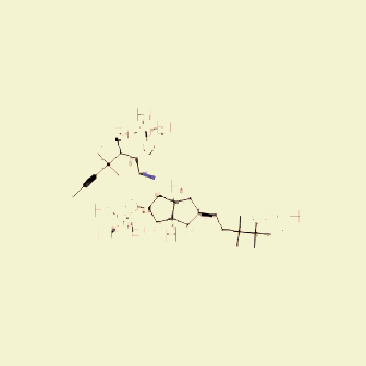 CC#CC(C)(C)C(C)[C@@H](/C=C/[C@@H]1[C@H]2C/C(=C/CC(C)(C)C(C)(C)C(=O)O)C[C@H]2C[C@H]1O[Si](CC)(CC)CC)O[Si](CC)(CC)CC